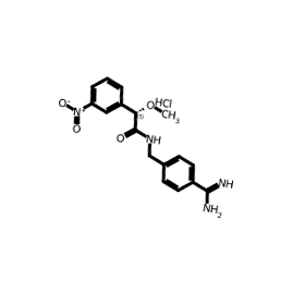 CO[C@H](C(=O)NCc1ccc(C(=N)N)cc1)c1cccc([N+](=O)[O-])c1.Cl